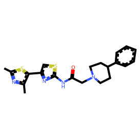 Cc1nc(C)c(-c2csc(NC(=O)CN3CCC(c4ccccc4)CC3)n2)s1